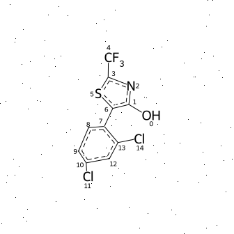 Oc1nc(C(F)(F)F)sc1-c1ccc(Cl)cc1Cl